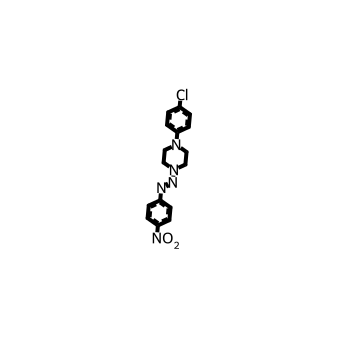 O=[N+]([O-])c1ccc(/N=N/N2CCN(c3ccc(Cl)cc3)CC2)cc1